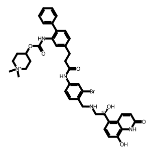 C[N+]1(C)CCC(OC(=O)Nc2cc(CCC(=O)Nc3ccc(CNC[C@@H](O)c4ccc(O)c5[nH]c(=O)ccc45)c(Br)c3)ccc2-c2ccccc2)CC1